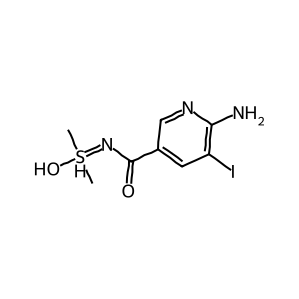 C[SH](C)(O)=NC(=O)c1cnc(N)c(I)c1